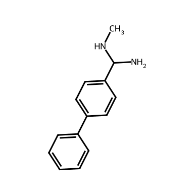 CNC(N)c1ccc(-c2ccccc2)cc1